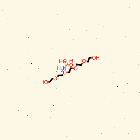 NP(O)O.OCCOCCOCCOCCOCCO